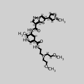 COCCN(CCNC(=O)C1=CNC(C)C(NC(=O)c2cnn3cc(-c4cnn(C)c4)sc23)=C1)CCOC